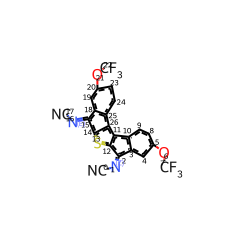 N#C/N=c1/c2cc(OC(F)(F)F)ccc2c2c1sc1/c(=N/C#N)c3cc(OC(F)(F)F)ccc3c12